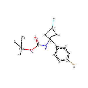 CC(C)(C)OC(=O)NC1(c2ccc(Br)cc2)CC(F)C1